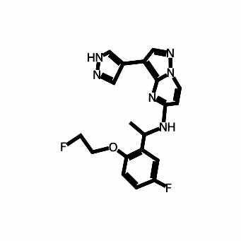 CC(Nc1ccn2ncc(-c3cn[nH]c3)c2n1)c1cc(F)ccc1OCCF